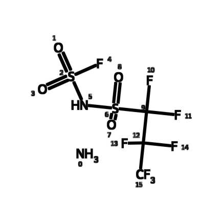 N.O=S(=O)(F)NS(=O)(=O)C(F)(F)C(F)(F)C(F)(F)F